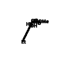 CCC=CCC=CCC=CCC=CCC=CCC=CCCC(=O)NCCN(C)CCNC(=O)C=CC(=O)OC